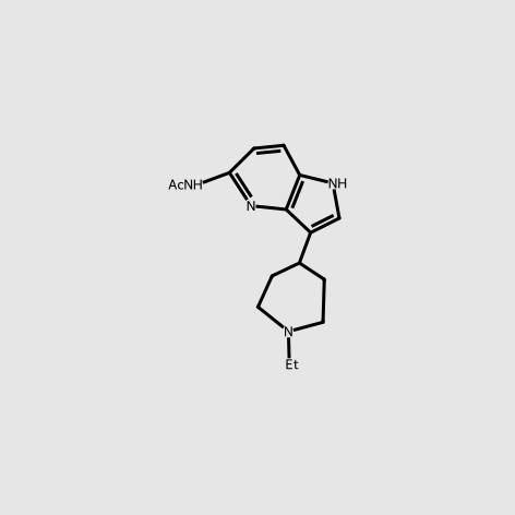 CCN1CCC(c2c[nH]c3ccc(NC(C)=O)nc23)CC1